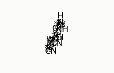 CC1(C)CC(NC(=O)c2ccc(Oc3cccc(-c4ccc(C#N)cc4)c3C#N)c(Cl)c2)CC(C)(C)N1